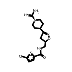 N=C(N)N1CCC(C2=NOC(CNC(=O)c3ccc(Cl)s3)C2)CC1